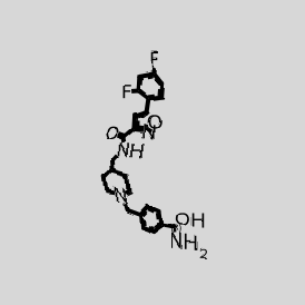 N[C@H](O)c1ccc(CN2CCC(CNC(=O)c3cc(-c4ccc(F)cc4F)on3)CC2)cc1